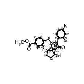 COC(=O)c1ccc(CN2C3C(C(=O)N2c2ccc(F)cc2F)[C@@H]2CC[C@@]3(C)C2(C)C)cc1